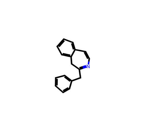 C1=Cc2ccccc2CC(Cc2ccccc2)=N1